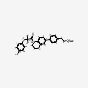 COCCc1ccc(-c2ccc3c(c2)CCCN3C(=O)C(C)(C)Oc2ccc(F)cc2)cc1